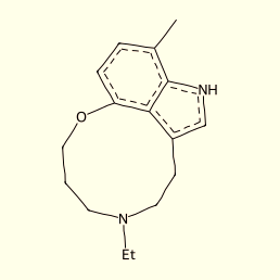 CCN1CCCOc2ccc(C)c3[nH]cc(c23)CC1